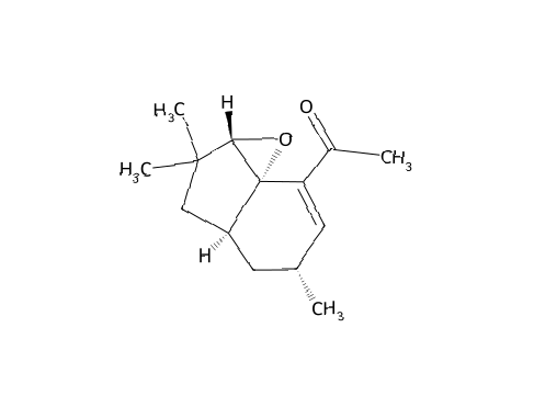 CC(=O)C1=C[C@H](C)C[C@H]2CC(C)(C)[C@@H]3O[C@]123